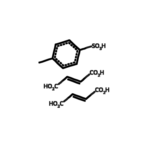 Cc1ccc(S(=O)(=O)O)cc1.O=C(O)C=CC(=O)O.O=C(O)C=CC(=O)O